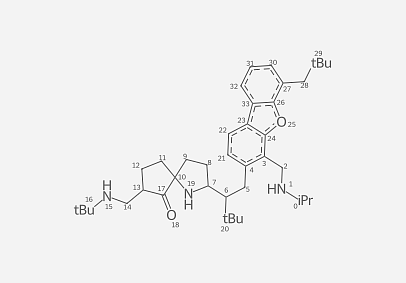 CC(C)NCc1c(CC(C2CCC3(CCC(CNC(C)(C)C)C3=O)N2)C(C)(C)C)ccc2c1oc1c(CC(C)(C)C)cccc12